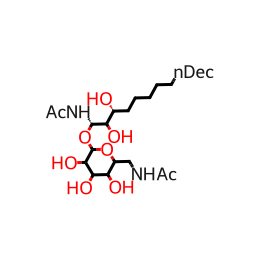 CCCCCCCCCCCCCCC[C@@H](O)C(O)[C@@H](NC(C)=O)OC1OC(CNC(C)=O)C(O)C(O)C1O